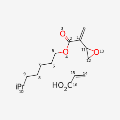 C=C(C(=O)OCCCCCC(C)C)C1CO1.C=CC(=O)O